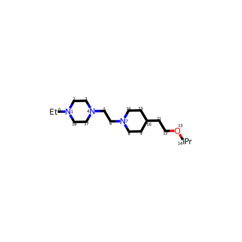 CCN1CCN(CCN2CCC(CCOC(C)C)CC2)CC1